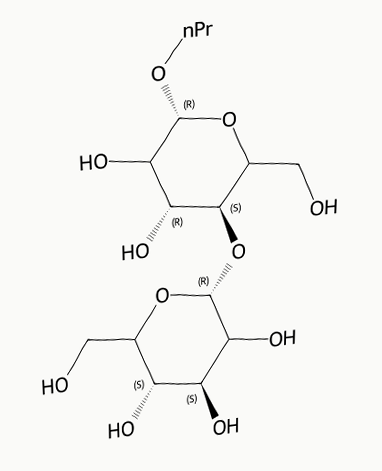 CCCO[C@@H]1OC(CO)[C@@H](O[C@H]2OC(CO)[C@@H](O)[C@H](O)C2O)[C@H](O)C1O